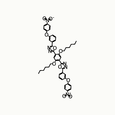 CCCCCCOc1cc(-c2nnc(-c3cccc(Oc4ccc([N+](=O)[O-])cc4)c3)o2)c(OCCCCCC)cc1-c1nnc(-c2cccc(Oc3ccc([N+](=O)[O-])cc3)c2)o1